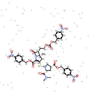 CN(C)C(=O)[C@H]1C[C@@H](C(=O)OCc2ccc([N+](=O)[O-])cc2)CN1SC1=C(C(=O)OCc2ccc([N+](=O)[O-])cc2)N2C(=O)[C@@H](CCOC(=O)OCc3ccc([N+](=O)[O-])cc3)[C@H]2C1